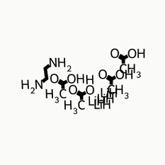 CC(=O)O.CC(=O)O.CC(=O)O.CC(=O)O.NCCN.[LiH].[LiH].[LiH].[LiH]